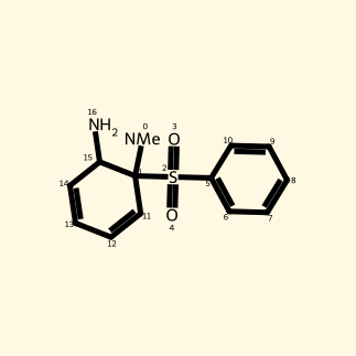 CNC1(S(=O)(=O)c2ccccc2)C=CC=CC1N